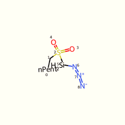 CCCCCCS(=O)(=O)[SiH2]N=[N+]=[N-]